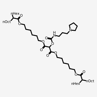 CCCCCCCCC(CCCCCC)C(=O)OCCCCCCOC(=O)C(OC(=O)NCCCN1CCCC1)C(=O)OCCCCCCOC(=O)C(CCCCCC)CCCCCCCC